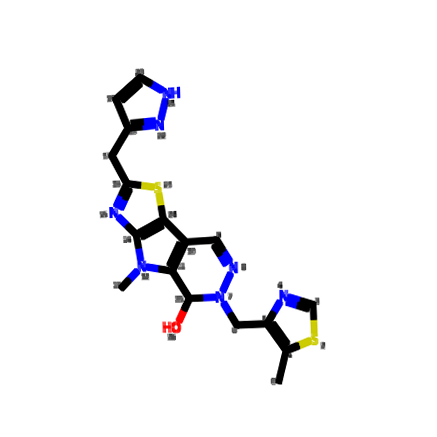 Cc1scnc1CN1N=Cc2c(n(C)c3nc(Cc4cc[nH]n4)sc23)C1O